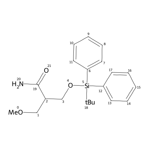 COCC(CO[Si](c1ccccc1)(c1ccccc1)C(C)(C)C)C(N)=O